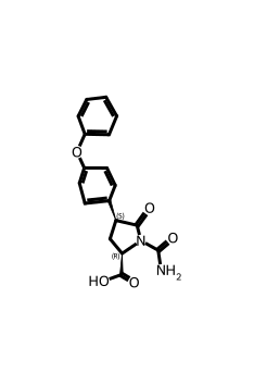 NC(=O)N1C(=O)[C@H](c2ccc(Oc3ccccc3)cc2)C[C@@H]1C(=O)O